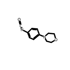 O=C=Nc1ccc(N2CCOCC2)cc1